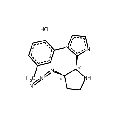 Cc1cccc(-n2ccnc2[C@H]2NCC[C@H]2N=[N+]=[N-])c1.Cl